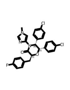 Cn1cnc(N2C(=O)[C@H](Cc3ccc(F)cc3)O[C@@H](c3ccc(Cl)cc3)[C@H]2c2ccc(Cl)cc2)c1